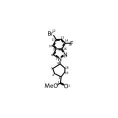 COC(=O)C1CCC(n2cc3cc(Br)cc(F)c3n2)CC1